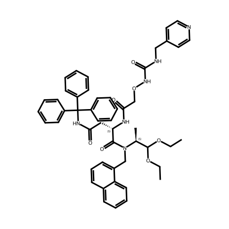 CCOC(OCC)[C@H](C)N(Cc1cccc2ccccc12)C(=O)[C@H](CC(=O)NC(c1ccccc1)(c1ccccc1)c1ccccc1)NC(=O)CONC(=O)NCc1ccncc1